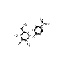 O=[N+]([O-])c1ccc(OC2O[C@H](CO)[C@@H](O)[C@H](O)[C@H]2O)cc1